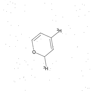 [2H]C1=CC([2H])OC=C1